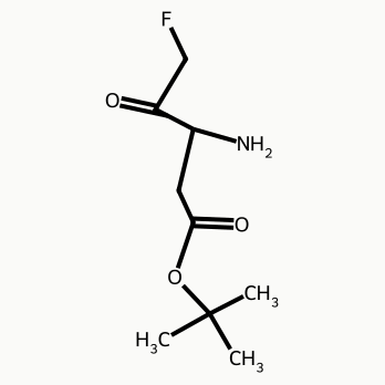 CC(C)(C)OC(=O)CC(N)C(=O)CF